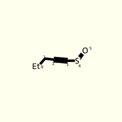 CCCC#C[S+]=O